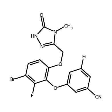 CCc1cc(C#N)cc(Oc2c(OCc3n[nH]c(=O)n3C)ccc(Br)c2F)c1